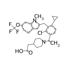 C=C(c1ccc(C2CC2)c(Cc2cc3ccc(OC(F)(F)F)cc3n2C)c1Cl)N1CCC(CC(=O)O)CC1